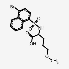 COCCCC(NS(=O)(=O)c1ccc(Br)c2ccccc12)C(=O)O